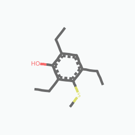 CCc1cc(CC)c(SC)c(CC)c1O